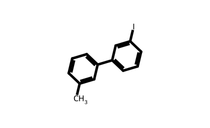 Cc1cccc(-c2cccc(I)c2)c1